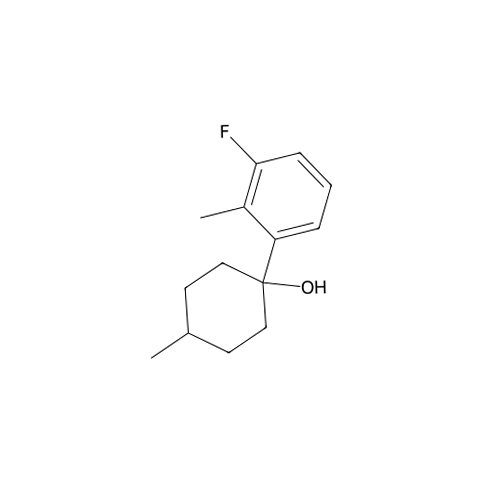 Cc1c(F)cccc1C1(O)CCC(C)CC1